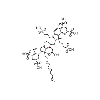 COCCOCCOCCC1(C)C(=CC=CC2N(CCCS(=O)(=O)O)c3ccc4c(S(=O)(=O)O)cc(S(=O)(=O)O)cc4c3C2(C)CCCS(=O)(=O)O)N(CCCCCC(=O)O)c2ccc3c(S(=O)(=O)O)cc(S(=O)(=O)O)cc3c21